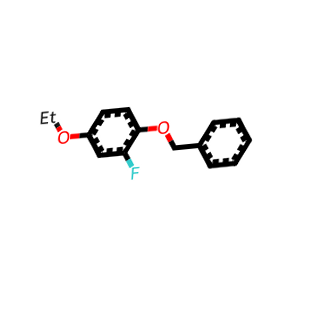 CCOc1ccc(OCc2ccccc2)c(F)c1